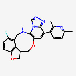 Cc1ccc(-c2cc3c(n4cnnc24)NCc2c(F)ccc4c2C(CO4)CO3)c(C)n1